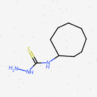 NNC(=S)NC1CCCCCCC1